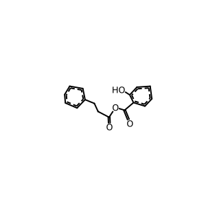 O=C(CCc1ccccc1)OC(=O)c1ccccc1O